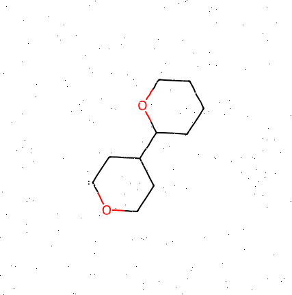 [C]1CC(C2CCCCO2)CCO1